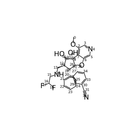 COc1cncc2c1[C@]1(O)[C@H](O)[C@H](CNCC(F)F)[C@@H](c3ccccc3)[C@]1(c1ccc(C#N)cc1)O2